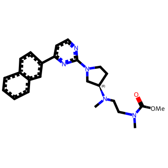 COC(=O)N(C)CCN(C)[C@@H]1CCN(c2nccc(-c3ccc4ccccc4c3)n2)C1